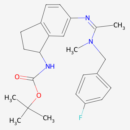 CC(=Nc1ccc2c(c1)C(NC(=O)OC(C)(C)C)CC2)N(C)Cc1ccc(F)cc1